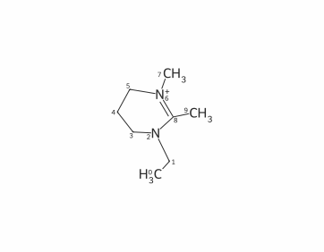 CCN1CCC[N+](C)=C1C